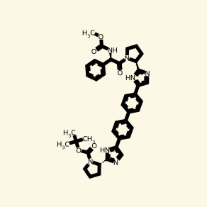 COC(=O)N[C@@H](C(=O)N1CCC[C@H]1c1ncc(-c2ccc(-c3ccc(-c4cnc([C@@H]5CCCN5C(=O)OC(C)(C)C)[nH]4)cc3)cc2)[nH]1)c1ccccc1